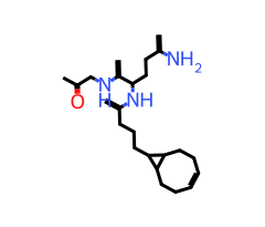 C=C(N)CCC(NC(=C)CCCC1C2CC/C=C\CCC21)C(=C)NCC(C)=O